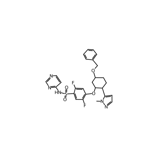 Cn1nccc1C1CCC(OCc2ccccc2)CC1Oc1cc(F)c(S(=O)(=O)Nc2ccncn2)cc1F